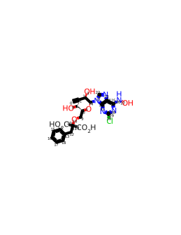 C#C[C@@H](O)[C@@H](O[C@@H](CO)COC(Cc1ccccc1)(C(=O)O)C(=O)O)n1cnc2c(NO)nc(Cl)nc21